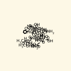 CC(=O)N[C@H](C(=O)N[C@@H](CCC(N)=O)C(=O)N[C@@H](CC(=O)O)C(=O)N[C@@H](C)C(=O)N[C@@H](CCC(=O)O)C(=O)N[C@@H](CC(=O)O)C(=O)N[C@@H](CC(N)=O)C(=O)N[C@H](C(=O)N[C@@H](C)C(=O)N[C@@H](CO)C(=O)N[C@@H](Cc1ccccc1)C(N)=O)[C@@H](C)O)[C@@H](C)O